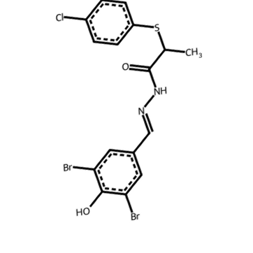 CC(Sc1ccc(Cl)cc1)C(=O)NN=Cc1cc(Br)c(O)c(Br)c1